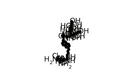 N=C(NCCCCc1ccc2cc(C[C@H](NCCC(NC[C@H](O)[C@@H](O)[C@H](O)[C@H](O)CO)[C@H](O)[C@@H](O)[C@H](O)[C@H](O)CO)C(N)=O)ccc2c1)NC(=O)c1nc(Cl)c(N)nc1N